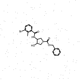 Cc1c(Br)cccc1C(=O)NC1CN(C(=O)OCc2ccccc2)CC1O